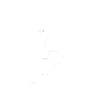 CCOC(=O)/C=C/c1cccc(OCOC)c1OC